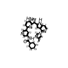 Cc1cn(-c2nccc3[nH]c(-c4n[nH]c5ccc(-c6cncc(NC(=O)C7CCCCC7)c6)nc45)cc23)cn1